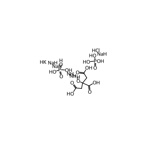 Cl.N.N.O=C(O)CC(O)(CC(=O)O)C(=O)O.O=P(O)(O)O.O=P(O)(O)O.[KH].[NaH].[NaH].[NaH]